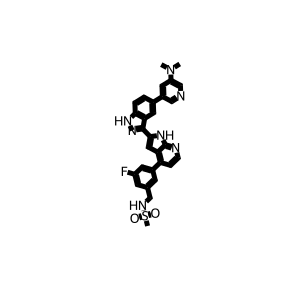 CN(C)c1cncc(-c2ccc3[nH]nc(-c4cc5c(-c6cc(F)cc(CNS(C)(=O)=O)c6)ccnc5[nH]4)c3c2)c1